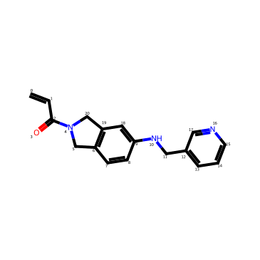 C=CC(=O)N1Cc2ccc(NCc3cccnc3)cc2C1